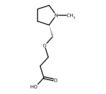 CN1CCC[C@H]1COCCC(=O)O